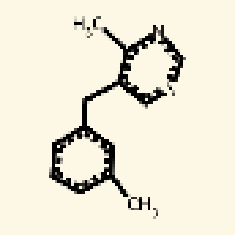 Cc1cccc(Cc2[c]ncnc2C)c1